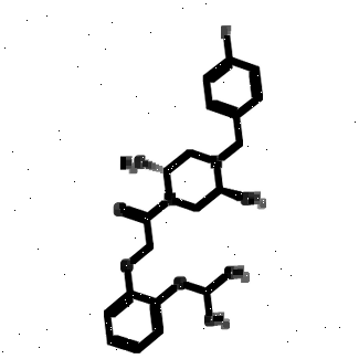 CC(C)Oc1ccccc1OCC(=O)N1C[C@H](C)N(Cc2ccc(F)cc2)C[C@H]1C